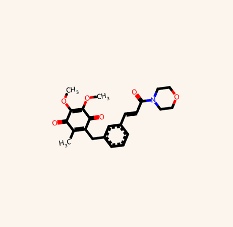 COC1=C(OC)C(=O)C(Cc2cccc(C=CC(=O)N3CCOCC3)c2)=C(C)C1=O